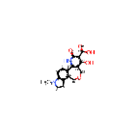 CN1CCc2c1ccc1c2COCc2c-1[nH]c(=O)c(C(=O)O)c2O